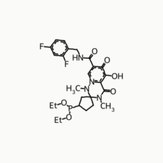 CCOP(OCC)C1CCC2(C1)N(C)C(=O)c1c(O)c(=O)c(C(=O)NCc3ccc(F)cc3F)cn1N2C